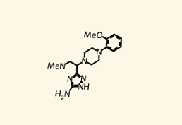 CNCC(c1n[nH]c(N)n1)N1CCN(c2ccccc2OC)CC1